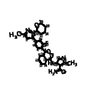 Cc1cc(-c2ccc(C(=O)C3CC=CCC3C(=O)NC3C=NN(C)C3C(N)=O)c(F)c2)n(C2CCCCO2)n1